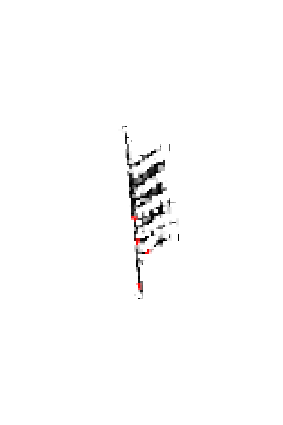 OCCOCCOCCOCC(COCC(COCC(CC(COCC(CC(COCC(CC(COCC(COCCOCCOCCO)OCCOCCOCCO)OCCOCCOCCO)OCCOCCOCCO)OCCOCCOCCO)OCCOCCOCCO)OCCOCCOCCO)OCCOCCOCCO)OCCOCCOCCO)OCCOCCOCCO